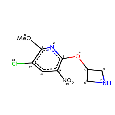 COc1nc(OC2CNC2)c([N+](=O)[O-])cc1Cl